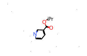 [CH2]C(C)OC(=O)c1cccnc1